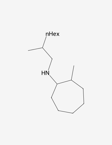 CCCCCCC(C)CNC1CCCCCC1C